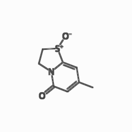 Cc1cc2n(c(=O)c1)CC[S+]2[O-]